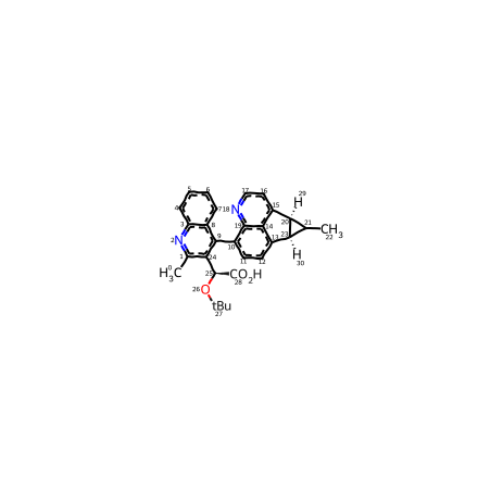 Cc1nc2ccccc2c(-c2ccc3c4c(ccnc24)[C@H]2C(C)[C@@H]32)c1[C@H](OC(C)(C)C)C(=O)O